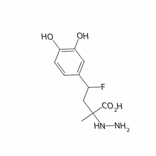 CC(CC(F)c1ccc(O)c(O)c1)(NN)C(=O)O